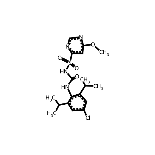 COc1cc(S(=O)(=O)NC(=O)Nc2c(C(C)C)cc(Cl)cc2C(C)C)ncn1